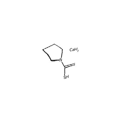 S=C(S)N1CCCC1.[CaH2]